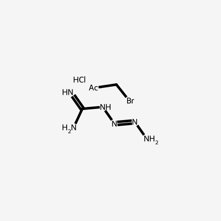 CC(=O)CBr.Cl.N=C(N)NN=NN